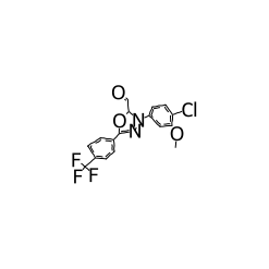 COc1cc(N2N=C(c3ccc(C(F)(F)F)cc3)OC2C=O)ccc1Cl